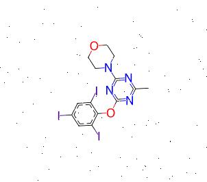 Cc1nc(Oc2c(I)cc(I)cc2I)nc(N2CCOCC2)n1